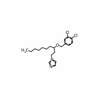 CCCCCCCC(CCn1ccnc1)OCc1ccc(Cl)c(Cl)c1